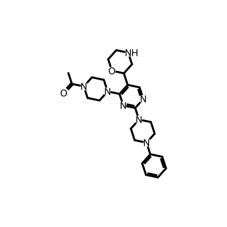 CC(=O)N1CCN(c2nc(N3CCN(c4ccccc4)CC3)ncc2C2CNCCO2)CC1